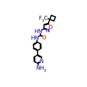 Nc1ccc(-c2ccc(NC(=O)Nc3cc(C4(C(F)(F)F)CCC4)on3)cc2)cn1